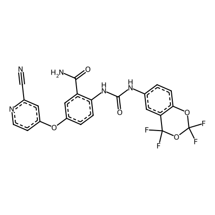 N#Cc1cc(Oc2ccc(NC(=O)Nc3ccc4c(c3)C(F)(F)OC(F)(F)O4)c(C(N)=O)c2)ccn1